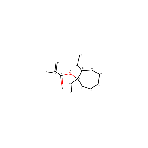 C=C(C)C(=O)OC1(CC)CCCCCC1CC